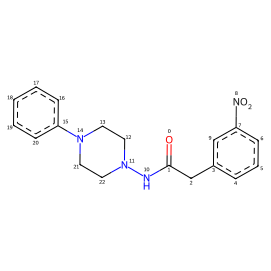 O=C(Cc1cccc([N+](=O)[O-])c1)NN1CCN(c2ccccc2)CC1